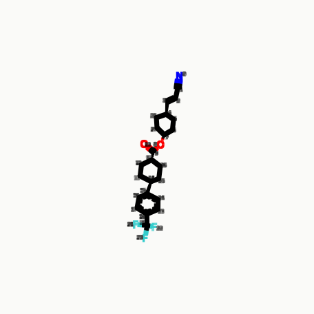 N#CC=C[C@H]1CC[C@H](OC(=O)[C@H]2CC[C@H](c3ccc(C(F)(F)F)cc3)CC2)CC1